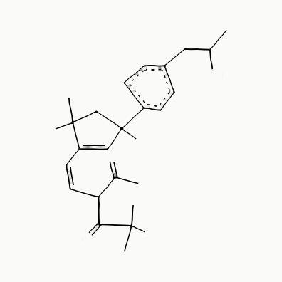 C=C(C)C(/C=C\C1=CC(C)(c2ccc(CC(C)O)cc2)CC1(C)C)C(=O)C(C)(C)O